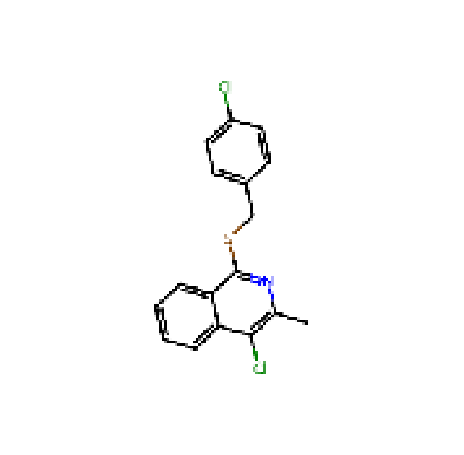 Cc1nc(SCc2ccc(Cl)cc2)c2ccccc2c1Cl